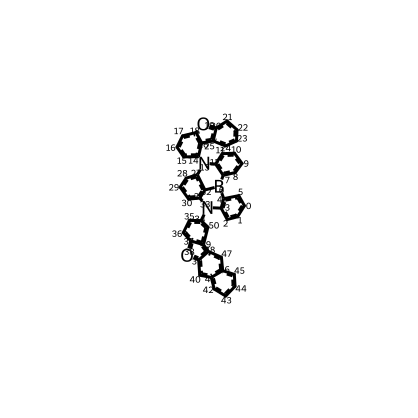 c1ccc2c(c1)B1c3ccccc3N(c3cccc4oc5ccccc5c34)c3cccc(c31)N2c1ccc2oc3cc4ccccc4cc3c2c1